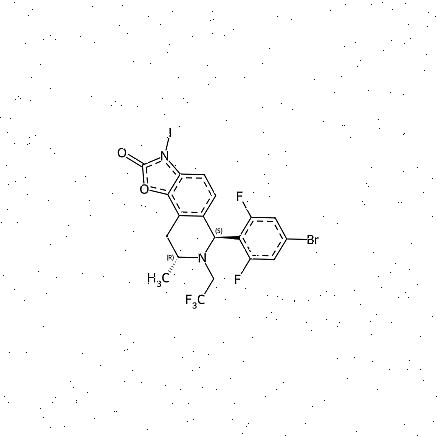 C[C@@H]1Cc2c(ccc3c2oc(=O)n3I)[C@@H](c2c(F)cc(Br)cc2F)N1CC(F)(F)F